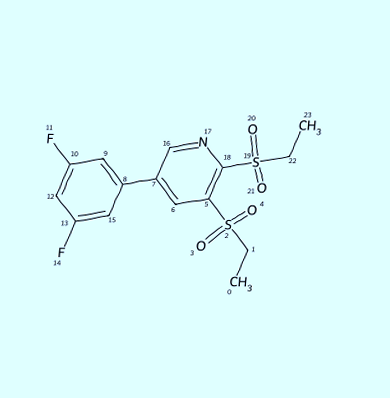 CCS(=O)(=O)c1cc(-c2cc(F)cc(F)c2)cnc1S(=O)(=O)CC